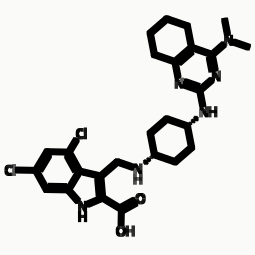 CN(C)c1nc(N[C@H]2CC[C@@H](NCc3c(C(=O)O)[nH]c4cc(Cl)cc(Cl)c34)CC2)nc2c1CCCC2